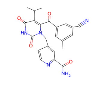 Cc1cc(C#N)cc(C(=O)c2c(C(C)C)c(=O)[nH]c(=O)n2Cc2ccnc(C(N)=O)c2)c1